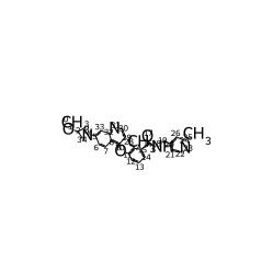 COC1CN(c2ccc3c(Oc4cccc(C(=O)NCc5ccnc(C)c5)c4C)ccnc3c2)C1